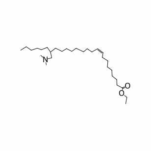 CCCCCCC(CCCCCCCC/C=C\CCCCCCCC(=O)OCC)CN(C)C